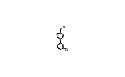 CCc1cccc(-c2ccc(CO)cc2)c1